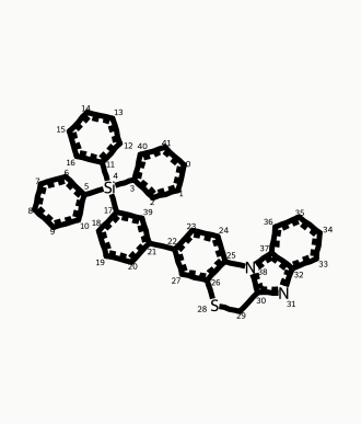 c1ccc([Si](c2ccccc2)(c2ccccc2)c2cccc(-c3ccc4c(c3)SCc3nc5ccccc5n3-4)c2)cc1